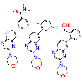 CN(C)C(=O)c1cccc(-c2ccc3ncc(N4CCOCC4)nc3c2)c1.Cc1ccc(F)cc1-c1ccc2ncc(N3CCOCC3)nc2c1.OCc1ccccc1-c1ccc2ncc(N3CCOCC3)nc2c1